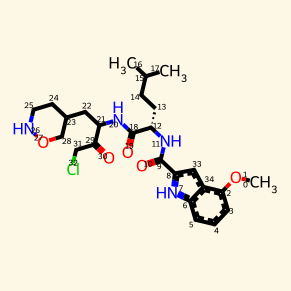 COc1cccc2[nH]c(C(=O)N[C@@H](CCC(C)C)C(=O)NC(CC3CCNOC3)C(=O)CCl)cc12